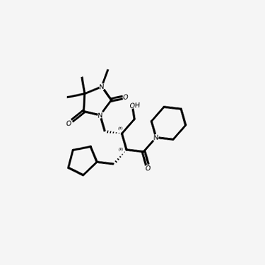 CN1C(=O)N(C[C@H](CO)[C@@H](CC2CCCC2)C(=O)N2CCCCC2)C(=O)C1(C)C